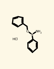 Cl.NN(OCc1ccccc1)c1ccccc1